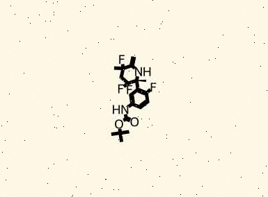 C=C1N[C@](C)(c2cc(NC(=O)OC(C)(C)C)ccc2F)C(F)(F)CC1(C)F